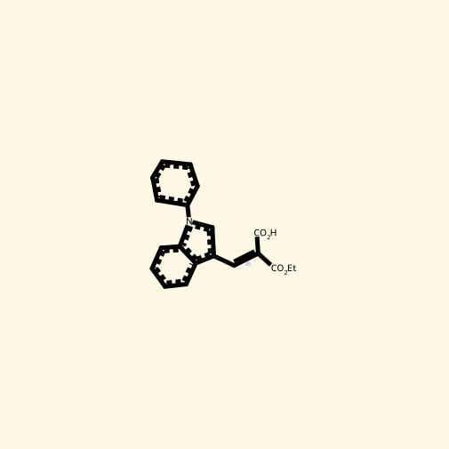 CCOC(=O)/C(=C/c1cn(-c2ccccc2)c2ccccc12)C(=O)O